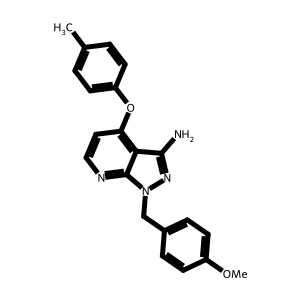 COc1ccc(Cn2nc(N)c3c(Oc4ccc(C)cc4)ccnc32)cc1